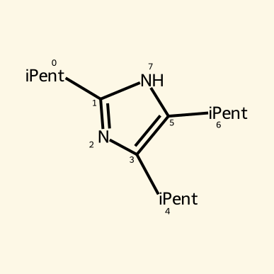 CCCC(C)c1nc(C(C)CCC)c(C(C)CCC)[nH]1